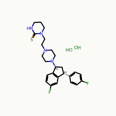 Cl.Cl.Fc1ccc([C@H]2C[C@H](N3CCN(CCN4CCCNC4=S)CC3)c3ccc(F)cc32)cc1